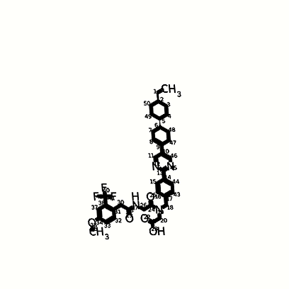 CC[C@H]1CC[C@H](C2CC=C(c3cnc(-c4ccc(CN(CC(=O)O)C(=O)CNC(=O)Cc5ccc(OC)cc5C(F)(F)F)cc4)nc3)CC2)CC1